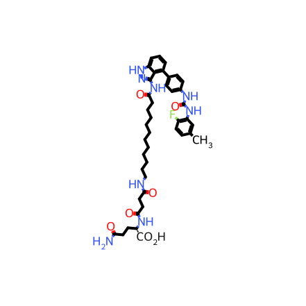 Cc1ccc(F)c(NC(=O)Nc2ccc(-c3cccc4[nH]nc(NC(=O)CCCCCCCCCCCNC(=O)CCC(=O)N[C@@H](CCC(N)=O)C(=O)O)c34)cc2)c1